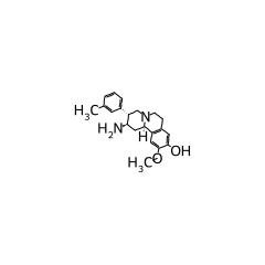 COc1cc2c(cc1O)CCN1C[C@@H](c3cccc(C)c3)[C@H](N)C[C@H]21